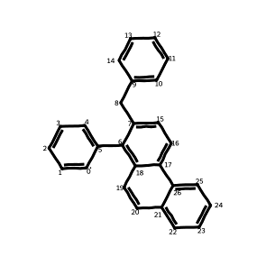 [c]1ccccc1-c1c(Cc2ccccc2)ccc2c1ccc1ccccc12